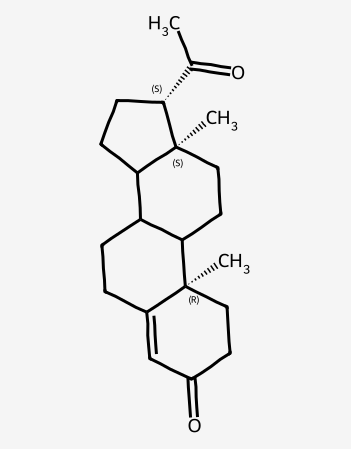 CC(=O)[C@H]1CCC2C3CCC4=CC(=O)CC[C@]4(C)C3CC[C@@]21C